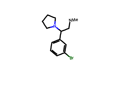 CNCC(c1cccc(Br)c1)N1CCCC1